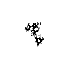 CCn1ncc2c(NC3CCOCC3)c(C(=O)NCc3cc(C)cc(C)c3)cnc21